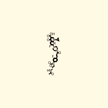 CC(=O)NC[C@H]1CN(c2ccc(C=CC(=O)N3CCN(c4nc5c(cc4F)c(=O)c(C(=O)O)cn5C4CC4)CC3)c(F)c2)C(=O)O1